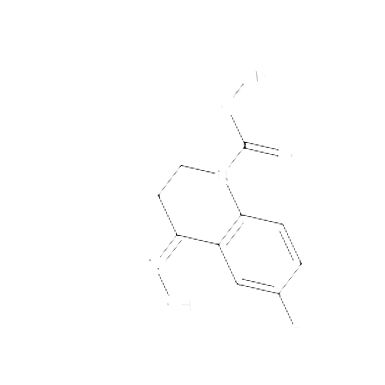 COC(=O)N1CC/C(=N/O)c2cc(F)ccc21